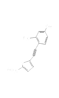 O=C(O)c1ccc(C#Cc2ccc(O)cc2C(F)(F)F)s1